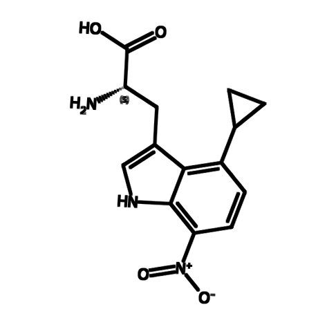 N[C@@H](Cc1c[nH]c2c([N+](=O)[O-])ccc(C3CC3)c12)C(=O)O